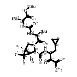 CC(C)(C)OC(=O)[C@@H](NC(=O)N[C@H](C(=O)N1C[C@H]2[C@@H]([C@H]1C(=O)NC(CC1CC1)C(=O)C(N)=O)C2(Cl)Cl)C(C)(C)C)C(C)(C)C